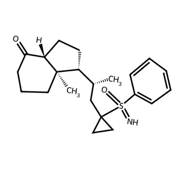 C[C@H](CC1(S(=N)(=O)c2ccccc2)CC1)[C@H]1CC[C@H]2C(=O)CCC[C@]12C